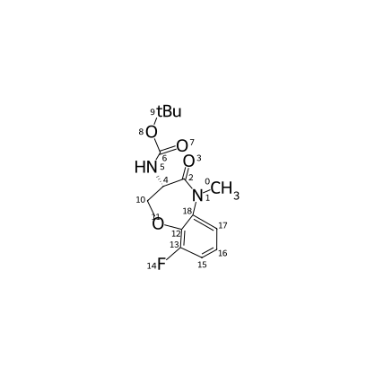 CN1C(=O)[C@@H](NC(=O)OC(C)(C)C)COc2c(F)cccc21